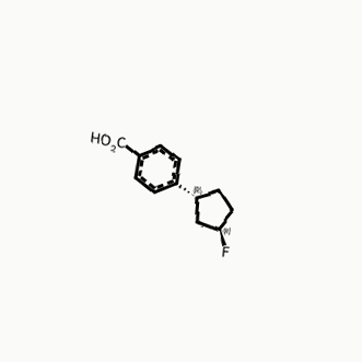 O=C(O)c1ccc([C@@H]2CC[C@@H](F)C2)cc1